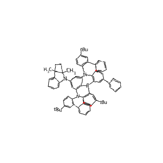 CC(C)(C)c1ccc2c(c1)B1c3cc(-c4ccccc4)ccc3N(c3ccc(C(C)(C)C)cc3-c3ccccc3)c3cc(N4c5ccccc5C5(C)CCC45C)cc(c31)N2c1ccc(C(C)(C)C)cc1-c1ccccc1